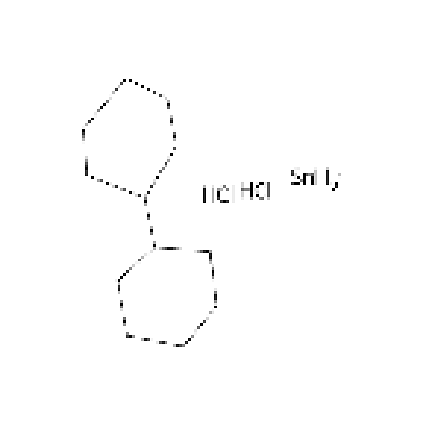 C1CCC(C2CCCCC2)CC1.Cl.Cl.[SnH2]